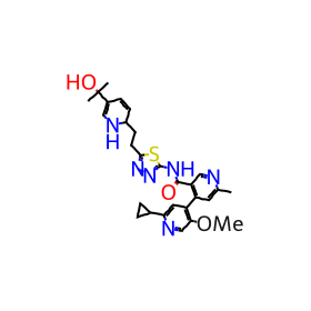 COc1cnc(C2CC2)cc1-c1cc(C)ncc1C(=O)Nc1nnc(CCC2C=CC(C(C)(C)O)=CN2)s1